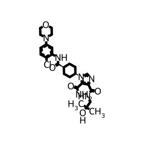 CC(C)(O)CNC(=O)c1ncn([C@H]2CC[C@H](C(=O)Nc3cc(N4CCOCC4)ccc3Cl)CC2)c1C(N)=O